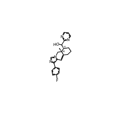 C[C@]12Cn3cnc(-c4ccc(F)cc4)c3C=C1CCC[C@@H]2C(O)c1ncccn1